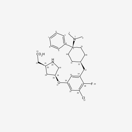 CN(C)[C@]1(c2ccccc2)CC[C@H](Cc2cc(O[C@@H]3CN[C@H](CC(=O)O)C3)cc(Cl)c2F)CC1